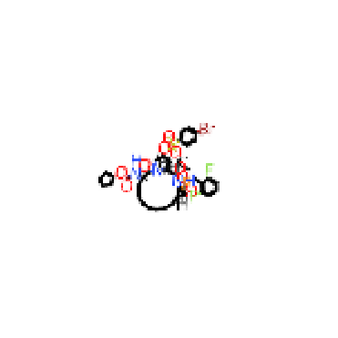 CCOP(=O)(Cc1c(F)cccc1F)[C@@]12C[C@H]1CCCCCCC[C@H](NC(=O)OC1CCCC1)C(=O)N1C[C@@H](OS(=O)(=O)c3ccc(Br)cc3)C[C@H]1C(=O)N2